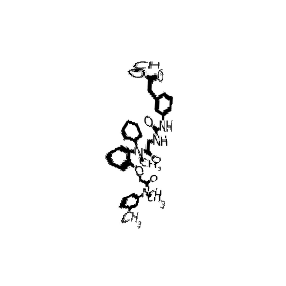 COC(=O)Cc1cccc(NC(=O)NCC(=O)[N+](C)(c2ccccc2OCC(=O)N(C)c2cccc(C)c2)C2CCCCC2)c1